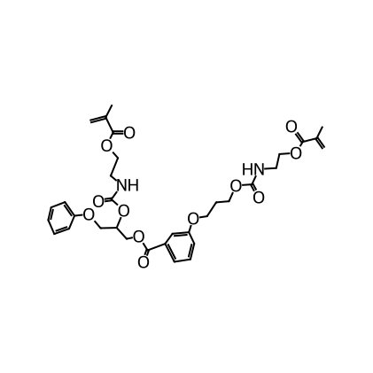 C=C(C)C(=O)OCCNC(=O)OCCCOc1cccc(C(=O)OCC(COc2ccccc2)OC(=O)NCCOC(=O)C(=C)C)c1